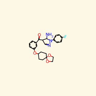 NC1C(C(=O)c2cccc(OC3CCC4(CC3)OCCO4)c2)C=NN1c1ccc(F)cc1